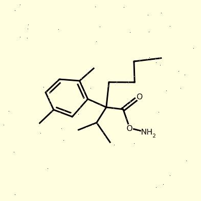 CCCCC(C(=O)ON)(c1cc(C)ccc1C)C(C)C